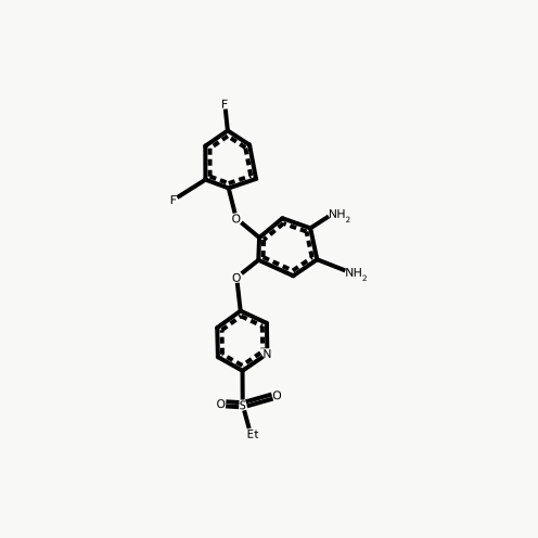 CCS(=O)(=O)c1ccc(Oc2cc(N)c(N)cc2Oc2ccc(F)cc2F)cn1